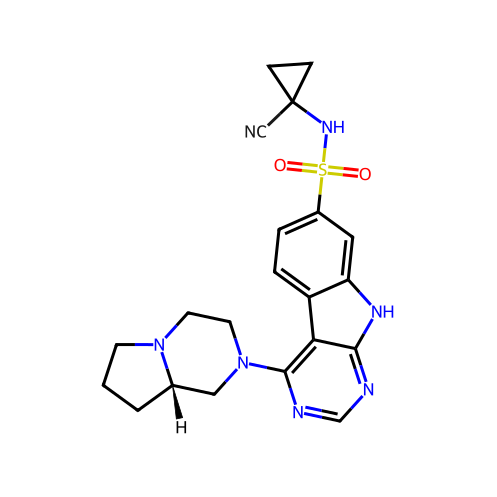 N#CC1(NS(=O)(=O)c2ccc3c(c2)[nH]c2ncnc(N4CCN5CCC[C@H]5C4)c23)CC1